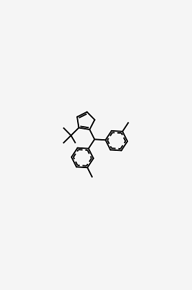 Cc1cccc(C(C2=C(C(C)(C)C)C=CC2)c2cccc(C)c2)c1